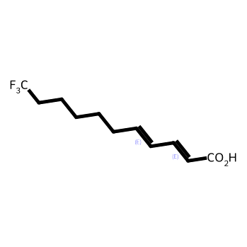 O=C(O)/C=C/C=C/CCCCCC(F)(F)F